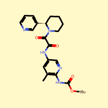 Cc1cc(NC(=O)C(=O)N2CCCC[C@H]2c2cccnc2)cnc1NC(=O)OC(C)(C)C